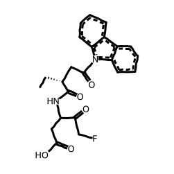 CC[C@H](CC(=O)n1c2ccccc2c2ccccc21)C(=O)NC(CC(=O)O)C(=O)CF